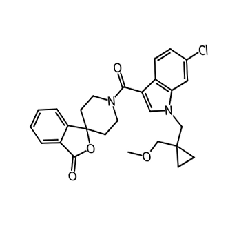 COCC1(Cn2cc(C(=O)N3CCC4(CC3)OC(=O)c3ccccc34)c3ccc(Cl)cc32)CC1